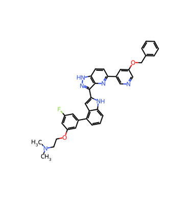 CN(C)CCOc1cc(F)cc(-c2cccc3[nH]c(-c4n[nH]c5ccc(-c6cncc(OCc7ccccc7)c6)nc45)cc23)c1